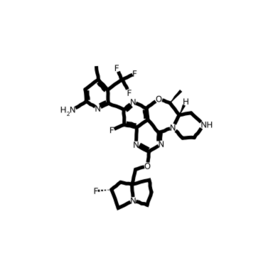 Cc1cc(N)nc(-c2nc3c4c(nc(OCC56CCCN5C[C@H](F)C6)nc4c2F)N2CCNC[C@H]2[C@H](C)O3)c1C(F)(F)F